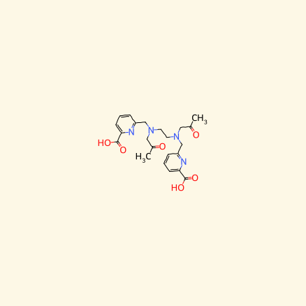 CC(=O)CN(CCN(CC(C)=O)Cc1cccc(C(=O)O)n1)Cc1cccc(C(=O)O)n1